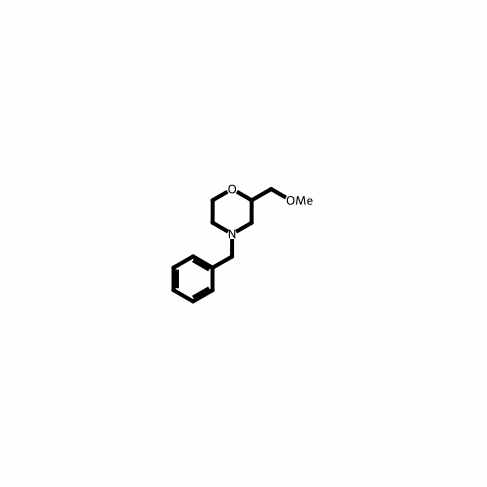 COCC1CN(Cc2ccccc2)CCO1